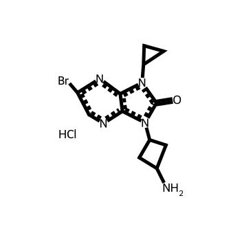 Cl.NC1CC(n2c(=O)n(C3CC3)c3nc(Br)cnc32)C1